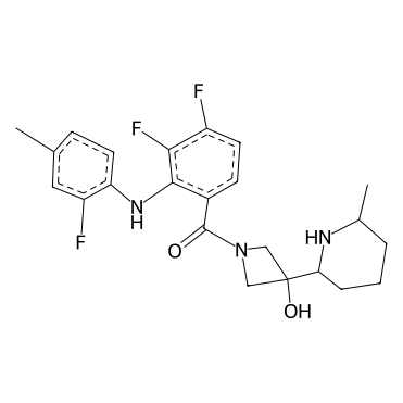 Cc1ccc(Nc2c(C(=O)N3CC(O)(C4CCCC(C)N4)C3)ccc(F)c2F)c(F)c1